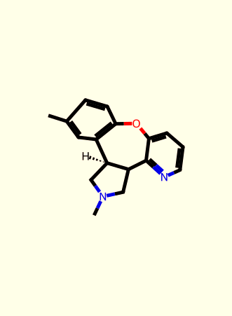 Cc1ccc2c(c1)[C@@H]1CN(C)CC1c1ncccc1O2